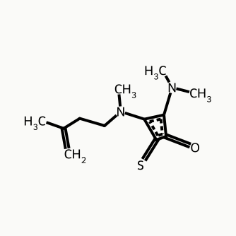 C=C(C)CCN(C)c1c(N(C)C)c(=O)c1=S